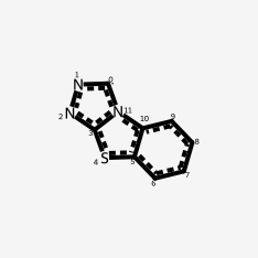 [c]1nnc2sc3ccccc3n12